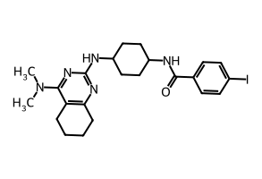 CN(C)c1nc(NC2CCC(NC(=O)c3ccc(I)cc3)CC2)nc2c1CCCC2